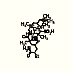 CCC(CC(CNC(C)(C)CS(=O)(=O)O)CC(C)(C)C(=O)NC[N+](C)(C)CC(O)C[N+](C)(C)C)C(N)=O